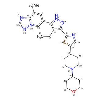 COc1cc(-c2[nH]nc(-c3ncc(C4CCN(C5CCOCC5)CC4)s3)c2CC(F)(F)F)cn2ncnc12